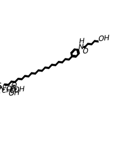 C[N+](C)(C)CC(CCCCCCCCCCCCCCCCCCc1ccc(NC(=O)CCCCO)cc1)OP(=O)(O)O